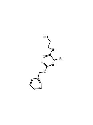 CC[C@H](C)[C@H](NC(=O)OCc1ccccc1)C(=O)NCCO